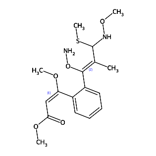 CONC(SC)/C(C)=C(\ON)c1ccccc1/C(=C\C(=O)OC)OC